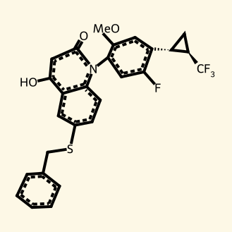 COc1cc([C@@H]2C[C@H]2C(F)(F)F)c(F)cc1-n1c(=O)cc(O)c2cc(SCc3ccccc3)ccc21